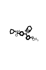 COc1cccc(C(c2ccc(C(=O)NC3CCCCC3)cc2)N2CC3CCCC(C2)N3)c1